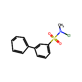 CN(Cl)S(=O)(=O)c1cccc(-c2ccccc2)c1